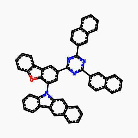 c1ccc2cc(-c3nc(-c4ccc5ccccc5c4)nc(-c4cc(-n5c6ccccc6c6cc7ccccc7cc65)c5oc6ccccc6c5c4)n3)ccc2c1